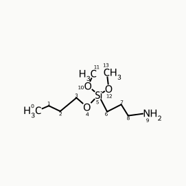 CCCCO[Si](CCCN)(OC)OC